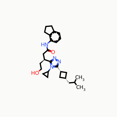 CC(C)C[C@H]1C[C@@H](c2nnc([C@@H](CCO)CC(=O)Nc3cccc4c3CCC4)n2C2CC2)C1